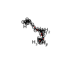 CC(C)(C)OC(=O)N(CC(F)(F)F)c1cc(-c2nc(C(=O)Nc3cn(-c4ccc(C(=O)NCCOCCOCCNc5cccc6c5C(=O)N(C5CCC(=O)NC5=O)C6=O)cc4)nc3C(N)=O)co2)ccn1